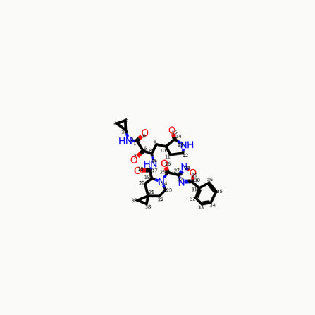 O=C(NC1CC1)C(=O)C(CC1CCNC1=O)NC(=O)C1CC2(CCN1C(=O)c1noc(-c3ccccc3)n1)CC2